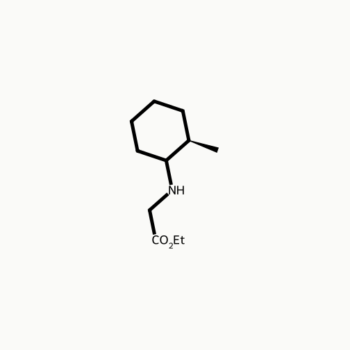 CCOC(=O)CNC1CCCC[C@H]1C